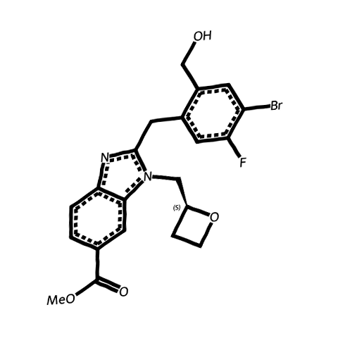 COC(=O)c1ccc2nc(Cc3cc(F)c(Br)cc3CO)n(C[C@@H]3CCO3)c2c1